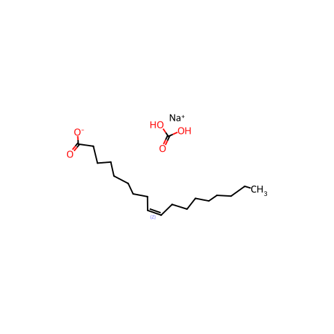 CCCCCCCC/C=C\CCCCCCCC(=O)[O-].O=C(O)O.[Na+]